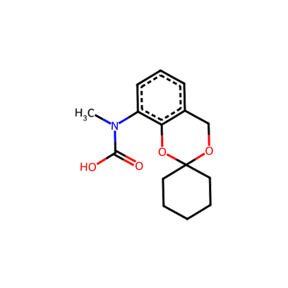 CN(C(=O)O)c1cccc2c1OC1(CCCCC1)OC2